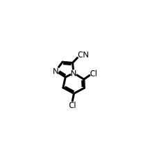 N#Cc1cnc2cc(Cl)cc(Cl)n12